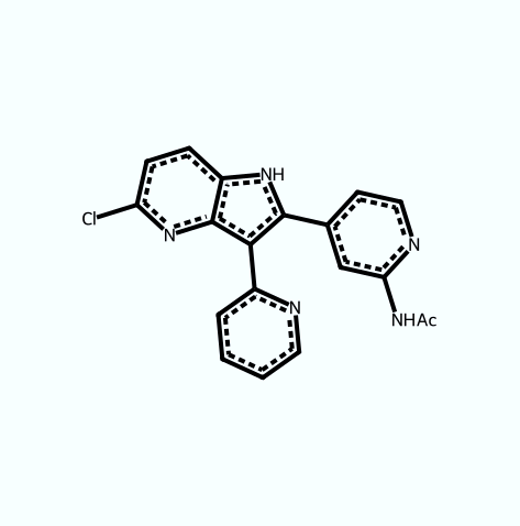 CC(=O)Nc1cc(-c2[nH]c3ccc(Cl)nc3c2-c2ccccn2)ccn1